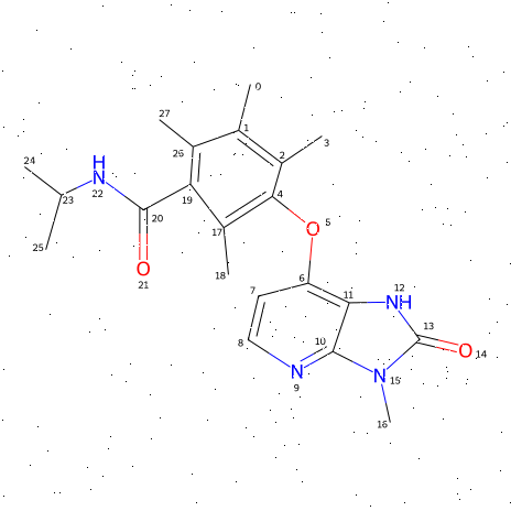 Cc1c(C)c(Oc2ccnc3c2[nH]c(=O)n3C)c(C)c(C(=O)NC(C)C)c1C